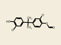 CC(C)(c1ccc(O)c(Cl)c1)c1ccc(OC=O)c(Cl)c1